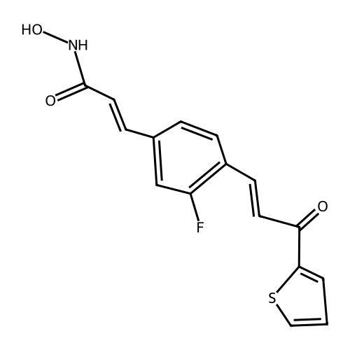 O=C(C=Cc1ccc(C=CC(=O)c2cccs2)c(F)c1)NO